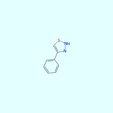 C1=C(c2ccccc2)[N]NS1